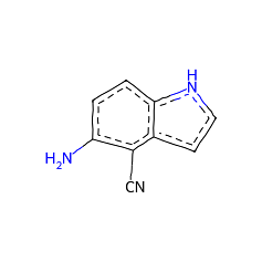 N#Cc1c(N)ccc2[nH]ccc12